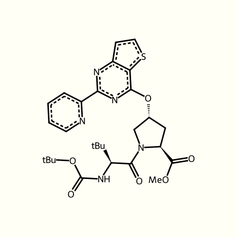 COC(=O)[C@@H]1C[C@@H](Oc2nc(-c3ccccn3)nc3ccsc23)CN1C(=O)[C@@H](NC(=O)OC(C)(C)C)C(C)(C)C